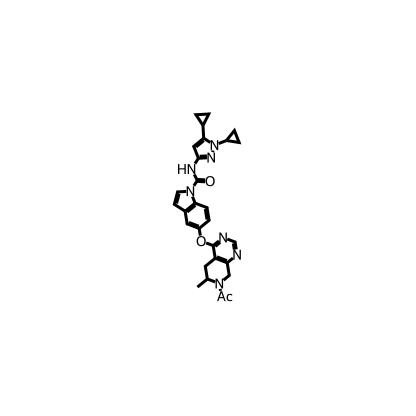 CC(=O)N1Cc2ncnc(Oc3ccc4c(ccn4C(=O)Nc4cc(C5CC5)n(C5CC5)n4)c3)c2CC1C